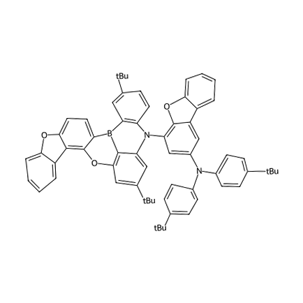 CC(C)(C)c1ccc(N(c2ccc(C(C)(C)C)cc2)c2cc(N3c4ccc(C(C)(C)C)cc4B4c5ccc6oc7ccccc7c6c5Oc5cc(C(C)(C)C)cc3c54)c3oc4ccccc4c3c2)cc1